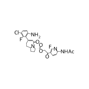 CC(=O)Nc1ccc(C(=O)COC(=O)[C@@H]2CCC3CCC(c4c(N)ccc(Cl)c4F)=CC(=O)N32)c(F)n1